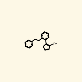 CC(C)C1=C(c2ccccc2CCc2ccccc2)CC=C1